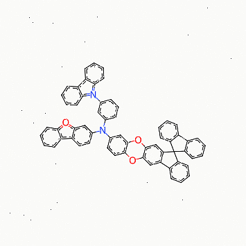 c1cc(N(c2ccc3c(c2)Oc2cc4c(cc2O3)-c2ccccc2C42c3ccccc3-c3ccccc32)c2ccc3c(c2)oc2ccccc23)cc(-n2c3ccccc3c3ccccc32)c1